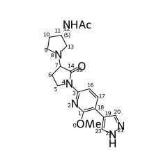 COc1nc(N2CCC(N3CC[C@H](NC(C)=O)C3)C2=O)ccc1-c1cn[nH]c1